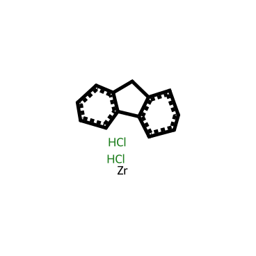 Cl.Cl.[Zr].c1ccc2c(c1)Cc1ccccc1-2